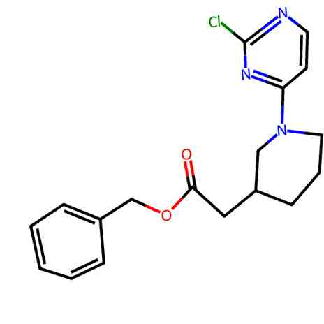 O=C(CC1CCCN(c2ccnc(Cl)n2)C1)OCc1ccccc1